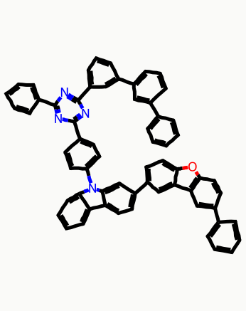 c1ccc(-c2cccc(-c3cccc(-c4nc(-c5ccccc5)nc(-c5ccc(-n6c7ccccc7c7ccc(-c8ccc9oc%10ccc(-c%11ccccc%11)cc%10c9c8)cc76)cc5)n4)c3)c2)cc1